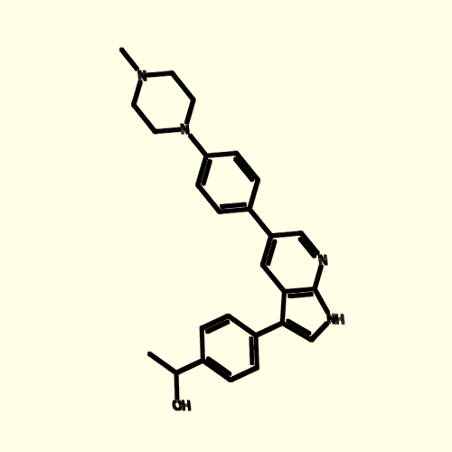 CC(O)c1ccc(-c2c[nH]c3ncc(-c4ccc(N5CCN(C)CC5)cc4)cc23)cc1